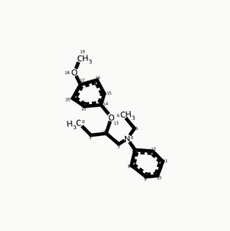 CCC(CN(CC)c1ccccc1)Oc1ccc(OC)cc1